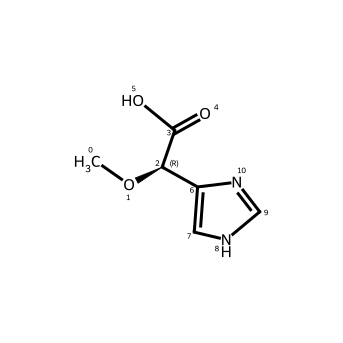 CO[C@@H](C(=O)O)c1c[nH]cn1